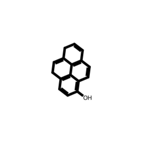 Oc1ccc2c3c4c(ccc13)C=CCC4=CC2